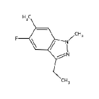 CCc1nn(C)c2cc(C)c(F)cc12